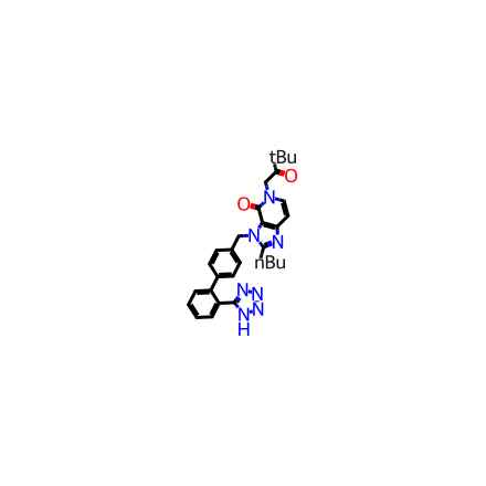 CCCCc1nc2ccn(CC(=O)C(C)(C)C)c(=O)c2n1Cc1ccc(-c2ccccc2-c2nnn[nH]2)cc1